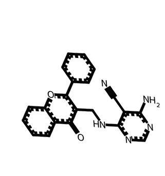 N#Cc1c(N)ncnc1NCc1c(-c2ccccc2)oc2ccccc2c1=O